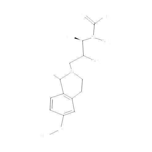 COc1ccc2c(c1)CCN(CC(N)[C@@H](O)N(N)C(C)=O)C2I